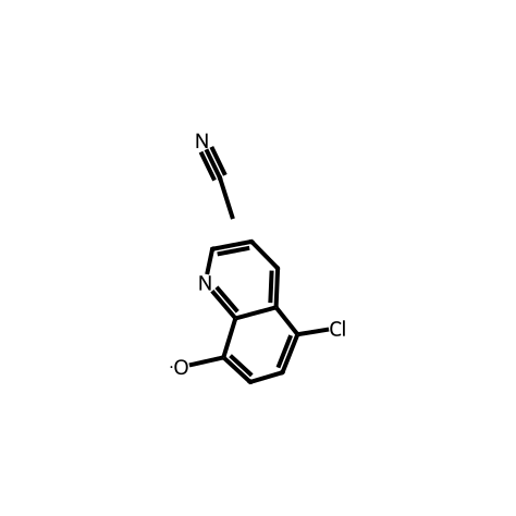 CC#N.[O]c1ccc(Cl)c2cccnc12